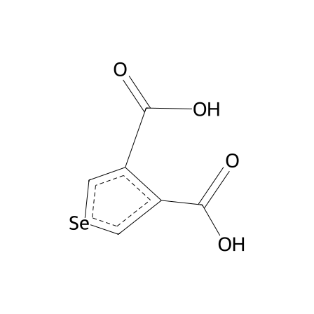 O=C(O)c1c[se]cc1C(=O)O